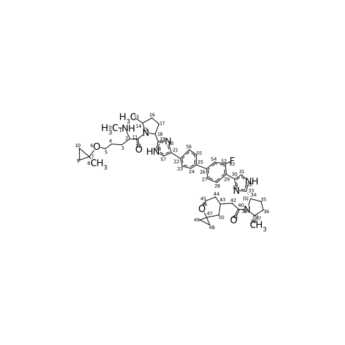 CNC(CCCOC1(C)CC1)C(=O)N1C(C)CCC1c1nc(-c2ccc(-c3ccc(-c4c[nH]c([C@@H]5CC[C@H](C)N5C(=O)CC5CCOC6(CC6)C5)n4)c(F)c3)cc2)c[nH]1